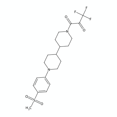 CS(=O)(=O)c1ccc(N2CCC(C3CCN(C(=O)C(=O)C(F)(F)F)CC3)CC2)cc1